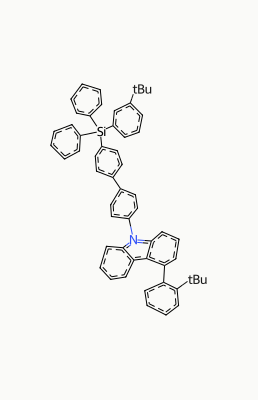 CC(C)(C)c1cccc([Si](c2ccccc2)(c2ccccc2)c2ccc(-c3ccc(-n4c5ccccc5c5c(-c6ccccc6C(C)(C)C)cccc54)cc3)cc2)c1